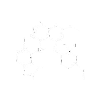 CCN1CCC(Oc2cc(OC)cc3ncnc(Nc4c(F)ccc5c4OCO5)c23)C(F)(I)C1